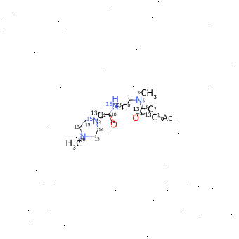 C[13C](=O)[13CH2][13CH2][13C](=O)N(C)C[13CH2][15NH]C(=O)[13CH2][15N]1CCN(C)CC1